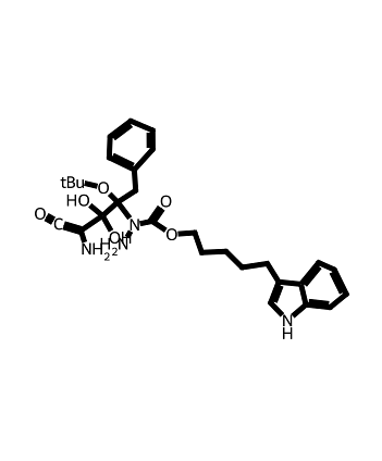 CC(C)(C)OC(Cc1ccccc1)(N(N)C(=O)OCCCCCc1c[nH]c2ccccc12)C(O)(O)C(N)=C=O